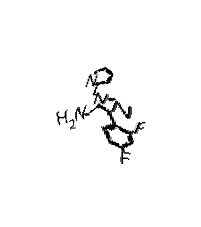 NCc1c(-c2ccc(F)cc2F)ncn1Cc1ccccn1